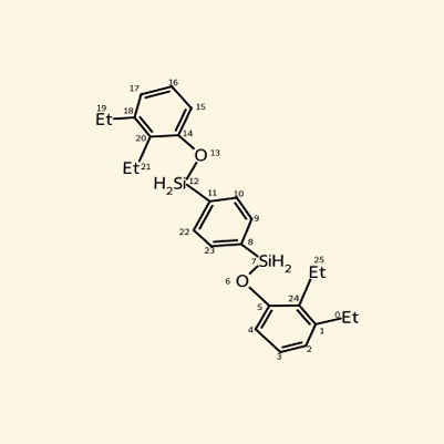 CCc1cccc(O[SiH2]c2ccc([SiH2]Oc3cccc(CC)c3CC)cc2)c1CC